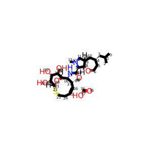 CC(C)C[C@@H]1CCO[C@@H]2[C@@H](C1)CN(C)[C@@H]2C(=O)N[C@H]1[C@H]2O[C@H](SCCC=C[C@H]1C)[C@H](O)[C@@H](O)[C@H]2O.O=CO